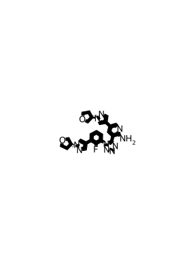 Nc1ncc(-c2cnn([C@@H]3CCOC3)c2)cc1-c1nnnn1-c1cccc(-c2cnn([C@@H]3CCOC3)c2)c1F